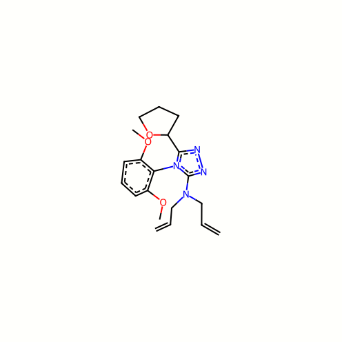 C=CCN(CC=C)c1nnc(C2CCCO2)n1-c1c(OC)cccc1OC